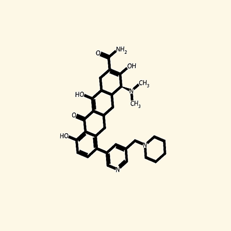 CN(C)[C@@H]1C(O)=C(C(N)=O)CC2C(O)=C3C(=O)c4c(O)ccc(-c5cncc(CN6CCCCC6)c5)c4CC3CC21